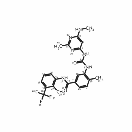 CNc1cc(NC(=O)Nc2cc(C(=O)Nc3cccc(C(F)(F)F)c3C)ccc2C)nc(C)n1